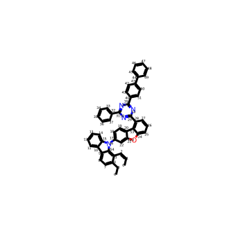 C/C=C\c1c(CC)ccc2c3ccccc3n(-c3ccc4c(c3)oc3cccc(-c5nc(-c6ccccc6)nc(-c6ccc(-c7ccccc7)cc6)n5)c34)c12